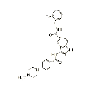 CN1CCN(c2ccc(C(=O)Nc3n[nH]c4ccc(C(=O)NCc5ccccc5F)cc34)cc2)CC1